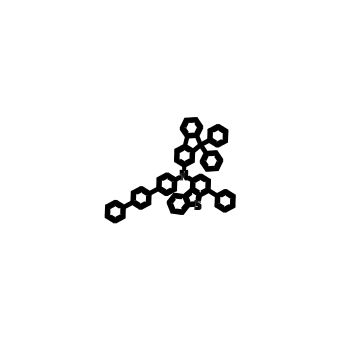 c1ccc(-c2ccc(-c3ccc(N(c4ccc5c(c4)C(c4ccccc4)(c4ccccc4)c4ccccc4-5)c4ccc(-c5ccccc5)c5sc6ccccc6c45)cc3)cc2)cc1